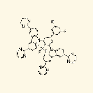 Fc1cc(F)cc(-c2cc(-n3c4ccc(-c5ncccn5)cc4c4cc(-c5ncccn5)ccc43)c(C(F)(F)F)c(-n3c4ccc(-c5ncccn5)cc4c4cc(-c5ncccn5)ccc43)c2)c1